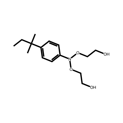 CCC(C)(C)c1ccc(N(OCCO)OCCO)cc1